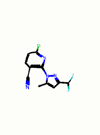 Cc1cc(C(F)F)nn1-c1nc(Cl)ccc1C#N